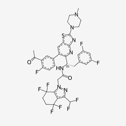 CC(=O)c1cc(-c2cc3sc(N4CCN(C)CC4)nc3nc2[C@H](Cc2cc(F)cc(F)c2)NC(=O)Cn2nc(C(F)F)c3c2C(F)(F)CCC3(F)F)ccc1F